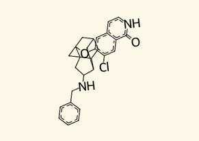 O=c1[nH]ccc2cc(OC34CC5CC6C(NCc7ccccc7)CC3(C4)C6C5)c(Cl)cc12